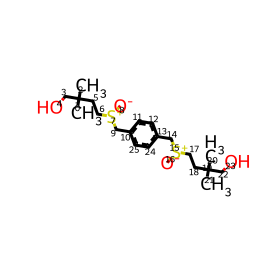 CC(C)(CO)CC[S+]([O-])Cc1ccc(C[S+]([O-])CCC(C)(C)CO)cc1